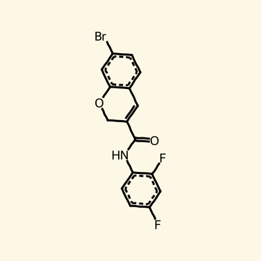 O=C(Nc1ccc(F)cc1F)C1=Cc2ccc(Br)cc2OC1